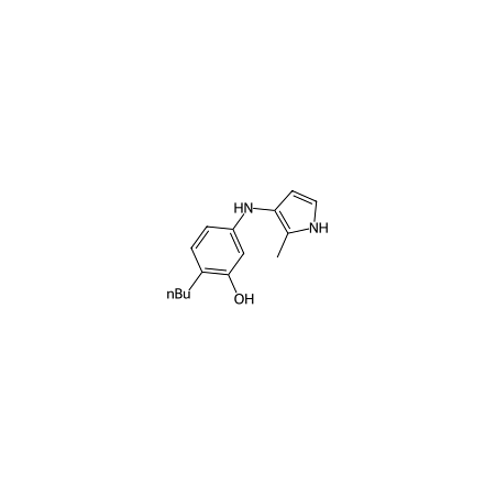 CCCCc1ccc(Nc2cc[nH]c2C)cc1O